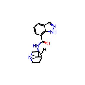 O=C(N[C@H]1CN2CCC1CC2)c1cccc2cn[nH]c12